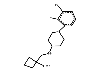 COC1(CNC2CCN(c3cccc(Br)c3Cl)CC2)CCC1